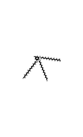 [CH2]c1cc(OCCCCCCCCCCCCCCC)c(OCCCCCCCCCCCCCCC)c(OCCCCCCCCCCCCCCC)c1